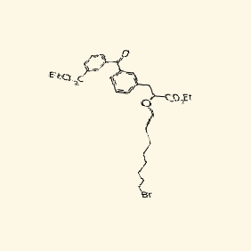 CCOC(=O)c1cccc(C(=O)c2cccc(CC(OCCCCCCCCBr)C(=O)OCC)c2)c1